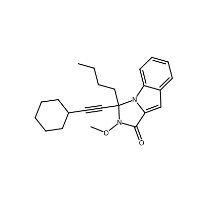 CCCCC1(C#CC2CCCCC2)N(OC)C(=O)c2cc3ccccc3n21